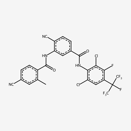 Cc1cc(C#N)ccc1C(=O)Nc1cc(C(=O)Nc2c(Cl)cc(C(F)(C(F)(F)F)C(F)(F)F)c(F)c2Cl)ccc1C#N